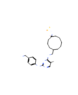 BC1(N[SH](=O)=O)CCCCCC(CNc2nc(Nc3ccc([C@@H](C)N)cc3)ncc2C(F)(F)F)CCC1